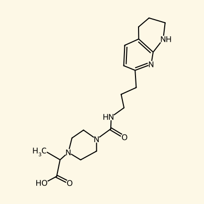 CC(C(=O)O)N1CCN(C(=O)NCCCc2ccc3c(n2)NCCC3)CC1